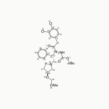 CCCCOC(=O)NN(C(=O)Cc1ccc(Cl)c(Cl)c1)[C@H](CN1CC[C@H](OCOC)C1)c1ccccc1